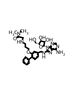 CN(C)C(=O)CNCCCOc1cc(CNc2nc3c(N)ncnc3n2[C@@H]2O[C@H](CO)[C@@H](O)[C@H]2O)ccc1-c1ccccc1